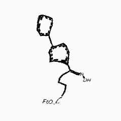 CCOC(=O)CCC(=NO)c1ccc(-c2ccccc2)cc1